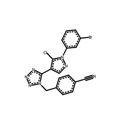 N#Cc1ccc(Cn2nnnc2-c2cnn(-c3cccc(Br)c3)c2Cl)cc1